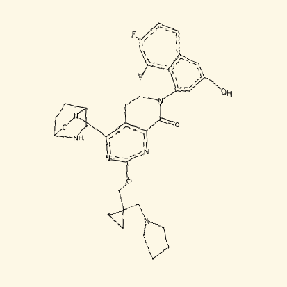 O=C1c2nc(OCC3(CN4CCCC4)CC3)nc(N3CC4CCC3CN4)c2CCN1c1cc(O)cc2ccc(F)c(F)c12